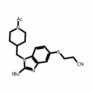 CC(=O)N1CCC(Cn2c(C(C)(C)C)nc3cc(SCCC#N)ccc32)CC1